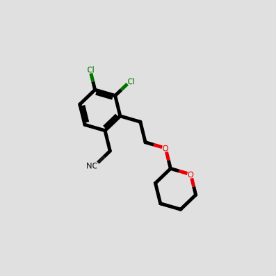 N#CCc1ccc(Cl)c(Cl)c1CCOC1CCCCO1